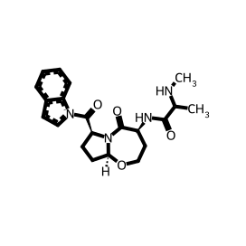 CNC(C)C(=O)N[C@H]1CCO[C@H]2CC[C@@H](C(=O)n3ccc4ccccc43)N2C1=O